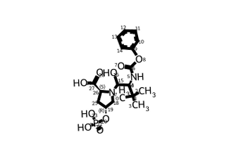 CC(C)(C)[C@H](NC(=O)Oc1ccccc1)C(O)N1C[C@H](OP(=O)(O)O)C[C@H]1C(=O)O